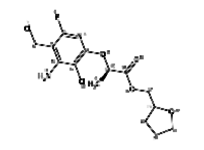 C[C@@H](Oc1nc(F)c(CCl)c(N)c1Cl)C(=O)OCC1CCCO1